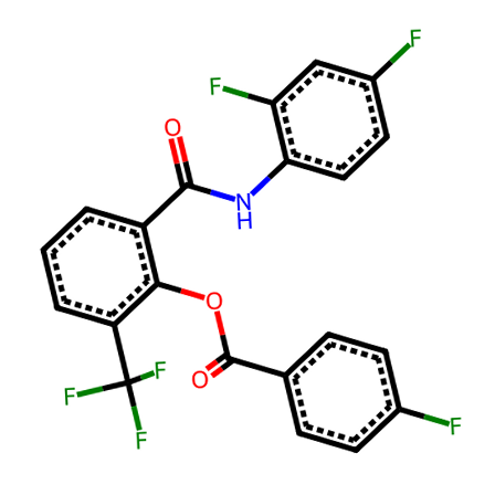 O=C(Oc1c(C(=O)Nc2ccc(F)cc2F)cccc1C(F)(F)F)c1ccc(F)cc1